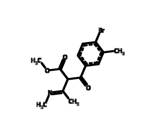 C/N=C(\C)C(C(=O)OC)C(=O)c1ccc(Br)c(C)c1